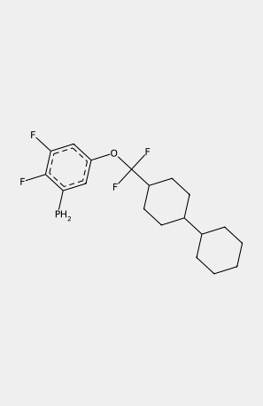 Fc1cc(OC(F)(F)C2CCC(C3CCCCC3)CC2)cc(P)c1F